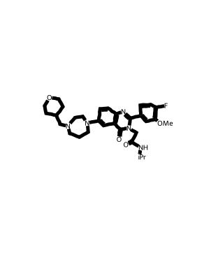 COc1cc(-c2nc3ccc(N4CCCN(CC5CCOCC5)CC4)cc3c(=O)n2CC(=O)NC(C)C)ccc1F